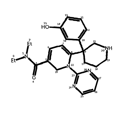 CCN(CC)C(=O)C1=CC=C(C2(c3cccc(O)c3)CCCNC2)N(c2ncccn2)C1